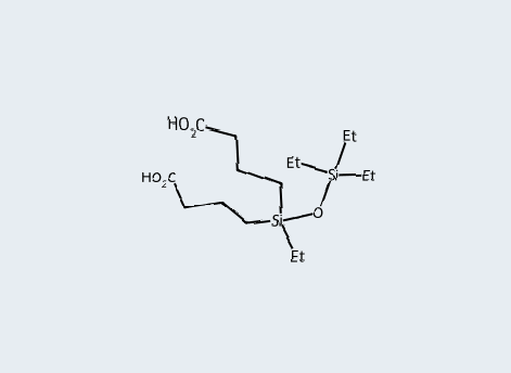 CC[Si](CC)(CC)O[Si](CC)(CCCC(=O)O)CCCC(=O)O